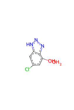 O.Oc1cc(Cl)cc2[nH]nnc12